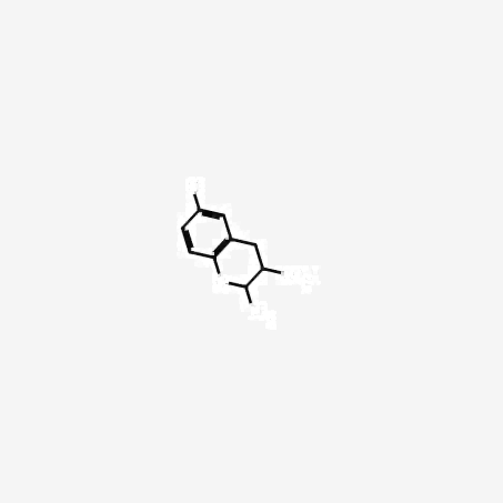 O=C(O)C1Cc2cc(Cl)ccc2OC1C(F)(F)F